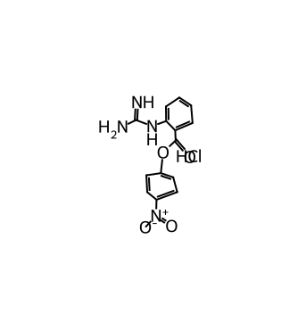 Cl.N=C(N)Nc1ccccc1C(=O)Oc1ccc([N+](=O)[O-])cc1